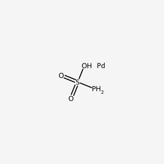 O=S(=O)(O)P.[Pd]